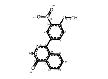 COc1ccc(-c2n[nH]c(=O)c3ccccc23)cc1[N+](=O)[O-]